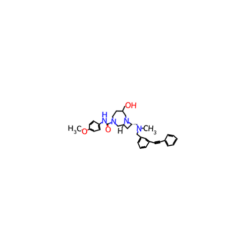 COc1ccc(NC(=O)N2CCC(CO)CN3[C@H](C[C@H]3CN(C)Cc3cccc(C#Cc4ccccc4)c3)C2)cc1